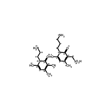 Cc1cc(O)n(CCCN)c(=O)c1CS(=O)(=O)O.Cc1cc(O)n(CCN)c(=O)c1C#N